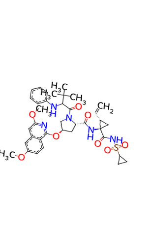 C=C[C@@H]1C[C@]1(NC(=O)[C@@H]1C[C@@H](Oc2nc(OC)cc3cc(OC)ccc23)CN1C(=O)C(Nc1ccccc1)C(C)(C)C)C(=O)NS(=O)(=O)C1CC1